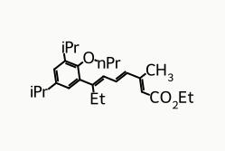 CCCOc1c(C(=CC=CC(C)=CC(=O)OCC)CC)cc(C(C)C)cc1C(C)C